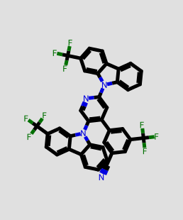 N#Cc1cc(-c2cc(-n3c4ccccc4c4ccc(C(F)(F)F)cc43)ncc2-n2c3ccccc3c3ccc(C(F)(F)F)cc32)cc(C(F)(F)F)c1